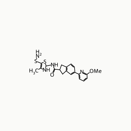 COc1cccc(-c2ccc3c(c2)CC(C(=O)NC2NC(C)=C(SN)S2)C3)n1